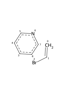 C=CBr.c1ccncc1